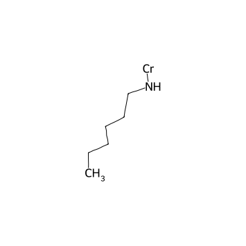 CCCCCC[NH][Cr]